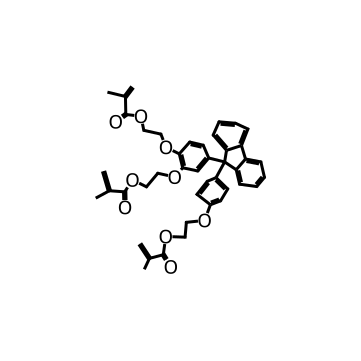 C=C(C)C(=O)OCCOc1ccc(C2(c3ccc(OCCOC(=O)C(=C)C)c(OCCOC(=O)C(=C)C)c3)c3ccccc3-c3ccccc32)cc1